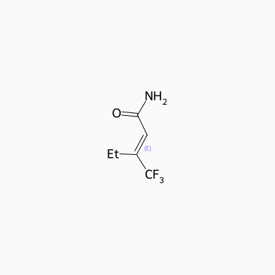 CC/C(=C\C(N)=O)C(F)(F)F